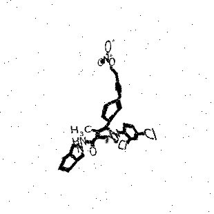 Cc1c(C(=O)NN2CC3CCCC3C2)nn(-c2ccc(Cl)cc2Cl)c1-c1ccc(C#CCCO[N+](=O)[O-])cc1